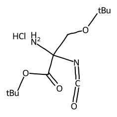 CC(C)(C)OCC(N)(N=C=O)C(=O)OC(C)(C)C.Cl